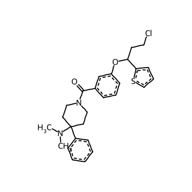 CN(C)C1(c2ccccc2)CCN(C(=O)c2cccc(OC(CCCl)c3cccs3)c2)CC1